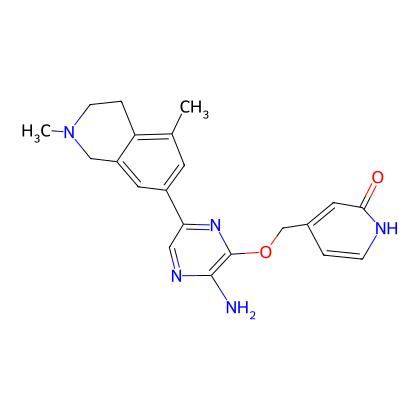 Cc1cc(-c2cnc(N)c(OCc3cc[nH]c(=O)c3)n2)cc2c1CCN(C)C2